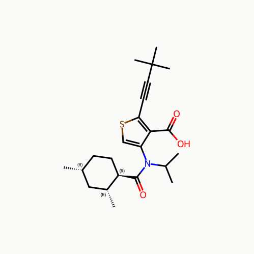 CC(C)N(C(=O)[C@@H]1CC[C@@H](C)C[C@H]1C)c1csc(C#CC(C)(C)C)c1C(=O)O